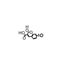 O=C(O)C1=Cc2ccc(N3CCC3)cc2OC1O